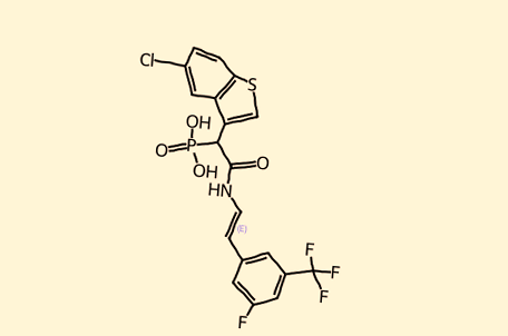 O=C(N/C=C/c1cc(F)cc(C(F)(F)F)c1)C(c1csc2ccc(Cl)cc12)P(=O)(O)O